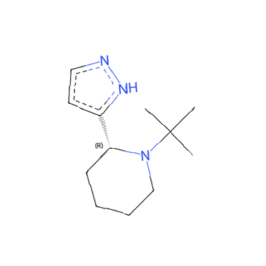 CC(C)(C)N1CCCC[C@@H]1c1ccn[nH]1